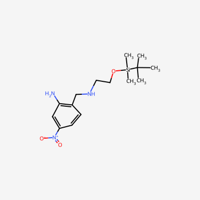 CC(C)(C)[Si](C)(C)OCCNCc1ccc([N+](=O)[O-])cc1N